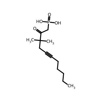 CCCCCC#CCC(C)(C)C(=O)CP(=O)(O)O